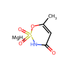 CC1=CC(=O)NS(=O)(=O)O1.[MgH2]